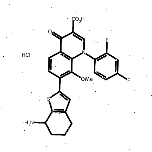 COc1c(-c2cc3c(s2)C(N)CCC3)ccc2c(=O)c(C(=O)O)cn(-c3ccc(F)cc3F)c12.Cl